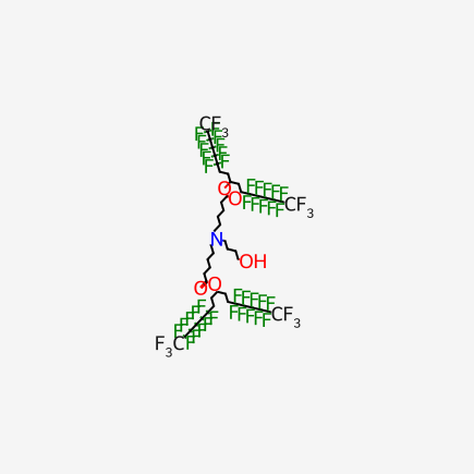 O=C(CCCCCN(CCCCO)CCCCCC(=O)OC(CCC(F)(F)C(F)(F)C(F)(F)C(F)(F)C(F)(F)C(F)(F)F)CCC(F)(F)C(F)(F)C(F)(F)C(F)(F)C(F)(F)C(F)(F)F)OC(CCC(F)(F)C(F)(F)C(F)(F)C(F)(F)C(F)(F)C(F)(F)F)CCC(F)(F)C(F)(F)C(F)(F)C(F)(F)C(F)(F)C(F)(F)F